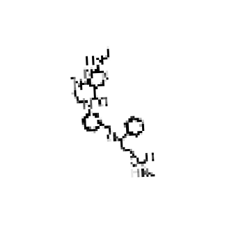 CCNc1ncc2c(n1)N(C)CCN(c1cccc(COC(CCOC(=O)NC)c3ccccc3)c1)C2=O